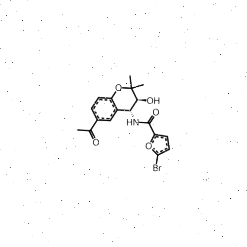 CC(=O)c1ccc2c(c1)[C@@H](NC(=O)c1ccc(Br)o1)[C@H](O)C(C)(C)O2